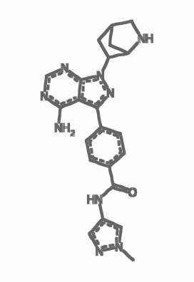 Cn1cc(NC(=O)c2ccc(-c3nn(C4CC5CNC4C5)c4ncnc(N)c34)cc2)cn1